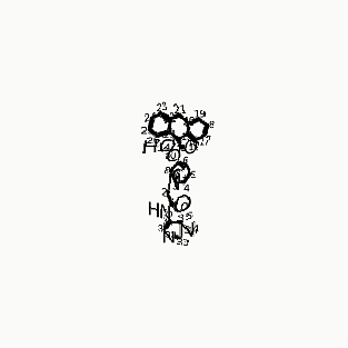 O=C(C[N+]12CCC(CC1)C(OC(=O)C1(O)c3ccccc3Cc3ccccc31)C2)Nc1cncnc1